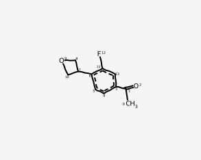 CC(=O)c1ccc(C2COC2)c(F)c1